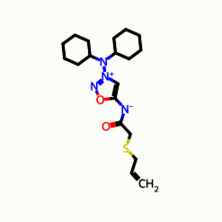 C=CCSCC(=O)[N-]c1c[n+](N(C2CCCCC2)C2CCCCC2)no1